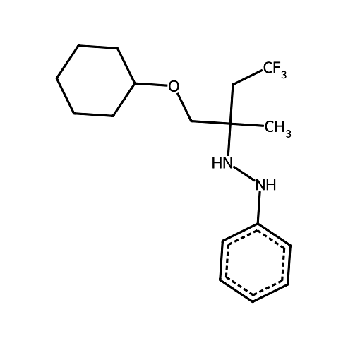 CC(COC1CCCCC1)(CC(F)(F)F)NNc1ccccc1